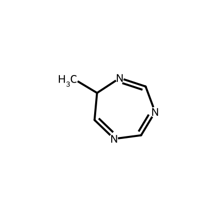 CC1C=NC=NC=N1